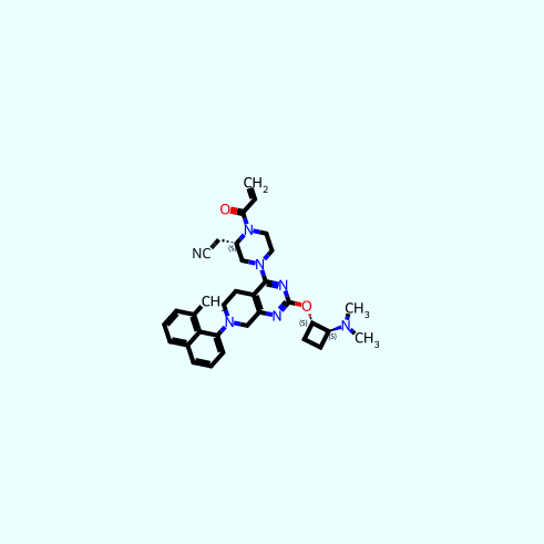 C=CC(=O)N1CCN(c2nc(O[C@H]3CC[C@@H]3N(C)C)nc3c2CCN(c2cccc4cccc(C)c24)C3)C[C@@H]1CC#N